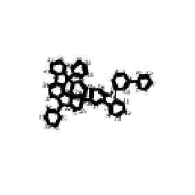 c1ccc(-c2cccc(-n3c4ccccc4c4cc(-c5ccc6c(c5)-c5c(ccc7c5C(c5ccccc5)(c5ccccc5)c5ccccc5-7)C6c5ccccc5)ccc43)c2)cc1